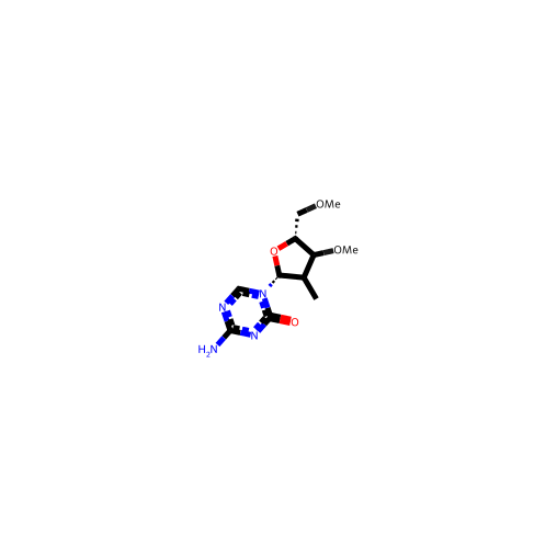 COC[C@H]1O[C@@H](n2cnc(N)nc2=O)C(C)C1OC